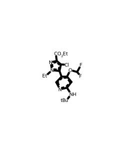 CCOC(=O)c1nn(CC)c(-c2cnc(NC(C)(C)C)cc2OC(F)F)c1Cl